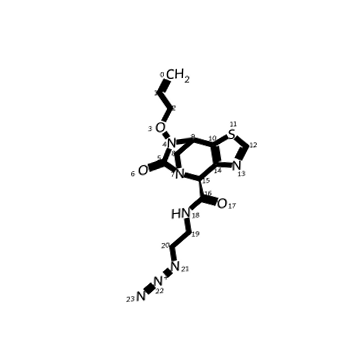 C=CCON1C(=O)N2CC1c1scnc1[C@H]2C(=O)NCCN=[N+]=[N-]